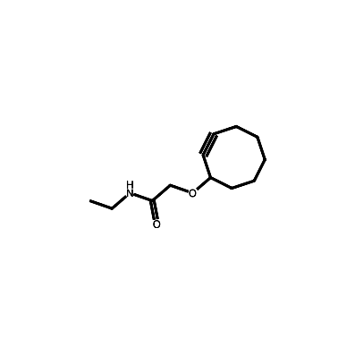 CCNC(=O)COC1C#CCCCCC1